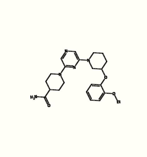 CCOc1ccccc1OC1CCCN(c2cncc(N3CCC(C(N)=O)CC3)n2)C1